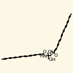 CC#CC#CC#CC#CC#CC#CC#CC#CC(=O)NC(CO)(CO)COC(=O)C#CC#CC#CC#CC#CC#CC#CC#CC